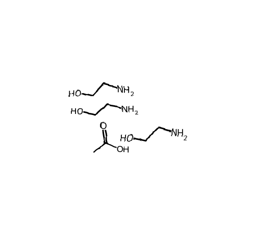 CC(=O)O.NCCO.NCCO.NCCO